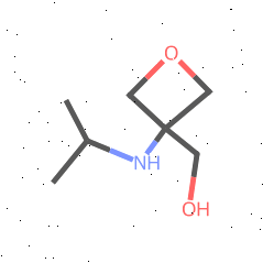 CC(C)NC1(CO)COC1